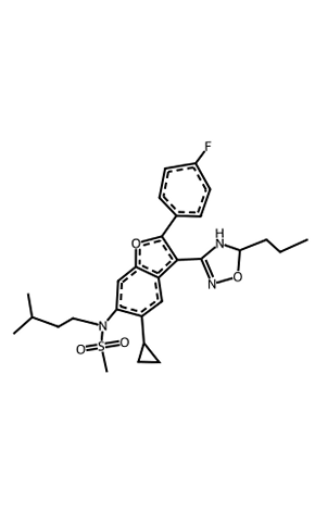 CCCC1NC(c2c(-c3ccc(F)cc3)oc3cc(N(CCC(C)C)S(C)(=O)=O)c(C4CC4)cc23)=NO1